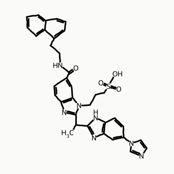 CC(c1nc2cc(-n3ccnc3)ccc2[nH]1)c1nc2ccc(C(=O)NCCc3cccc4ccccc34)cc2n1CCCS(=O)(=O)O